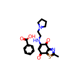 Cc1nc2c(s1)C(=O)C=C(NCCN1CCCC1)C2=O.O=C(O)c1ccccc1